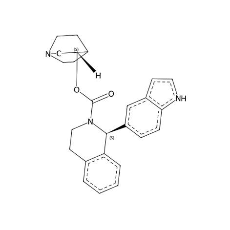 O=C(O[C@@H]1CN2CCC1CC2)N1CCc2ccccc2[C@@H]1c1ccc2[nH]ccc2c1